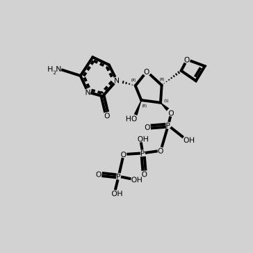 Nc1ccn([C@@H]2O[C@H](C3C=CO3)[C@@H](OP(=O)(O)OP(=O)(O)OP(=O)(O)O)[C@H]2O)c(=O)n1